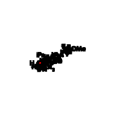 COc1ccc(CCn2cnc3cc(N/C(=N\C4C[C@@H]5C[C@H]([C@@H]4C)C5(C)C)NC(C)C)ccc3c2=O)c(F)c1